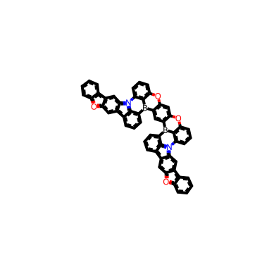 c1cc2c3c(c1)-n1c4cc5c(cc4c4cccc(c41)B3c1cc3c(cc1O2)Oc1cccc2c1B3c1cccc3c4cc6oc7ccccc7c6cc4n-2c13)oc1ccccc15